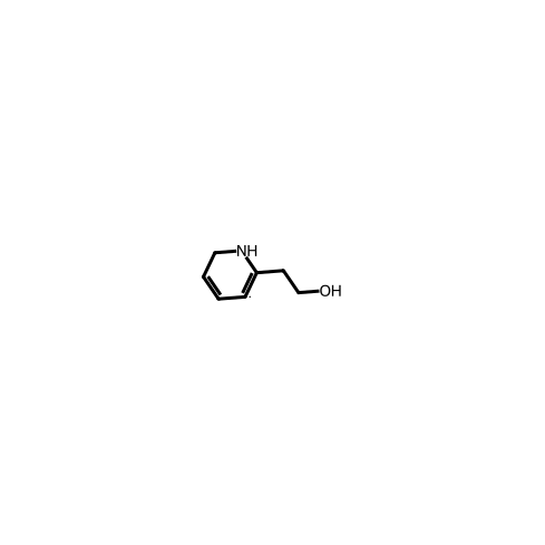 OCCC1=[C]C=CCN1